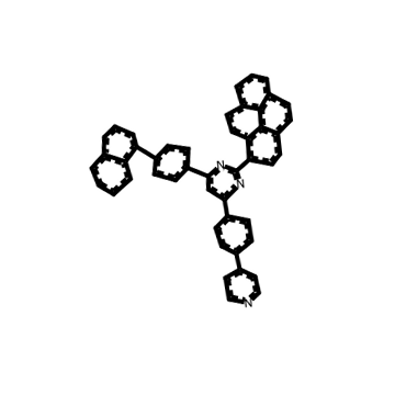 c1ccc2c(-c3ccc(-c4cc(-c5ccc(-c6ccncc6)cc5)nc(-c5ccc6ccc7cccc8ccc5c6c78)n4)cc3)cccc2c1